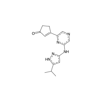 CC(C)c1cc(Nc2cncc(C3=CC(=O)CC3)n2)n[nH]1